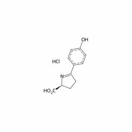 Cl.O=C(O)[C@@H]1CCC(c2ccc(O)cc2)=N1